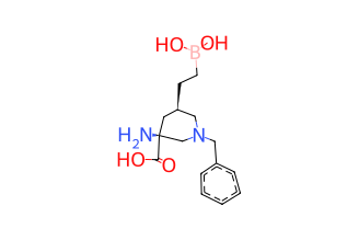 N[C@@]1(C(=O)O)C[C@@H](CCB(O)O)CN(Cc2ccccc2)C1